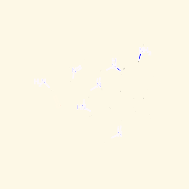 NC(=O)c1ncc(N[C@@H]2CCCC[C@@H]2N)nc1Nc1ccnc(C2CC2)c1